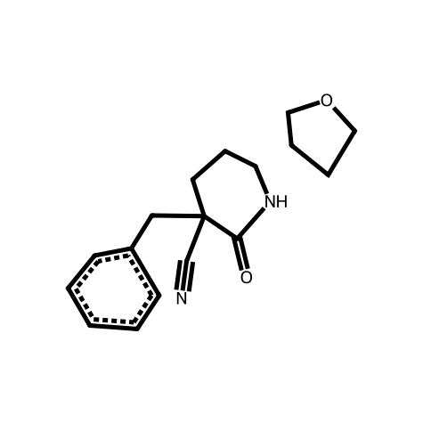 C1CCOC1.N#CC1(Cc2ccccc2)CCCNC1=O